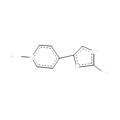 C[n+]1ccc(-c2c[pH]c(S)n2)cc1